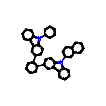 c1ccc(-n2c3ccccc3c3cc(-c4ccccc4-c4ccc5c(c4)c4ccccc4n5-c4ccc5ccccc5c4)ccc32)cc1